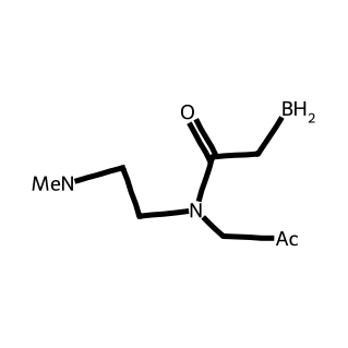 BCC(=O)N(CCNC)CC(C)=O